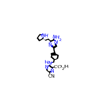 N#Cc1cnc(NCc2ccc(-c3cnc(N)c(CC[C@@H]4CCCN4)n3)cc2)c(C(=O)O)n1